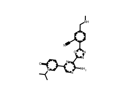 CNCc1ccc(-c2nnc(-c3nc(-c4ccc(=O)n(C(C)C)c4)cnc3N)o2)c(C#N)c1